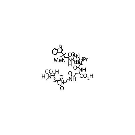 CN[C@H](C(=O)NC(C(=O)N(C)[C@H](/C=C(\C)C(=O)N[C@@H](CCC(=O)NCCN1C(=O)CC(SC[C@H](N)C(=O)O)C1=O)C(=O)O)C(C)C)C(C)(C)C)C(C)(C)c1cn(C)c2ccccc12